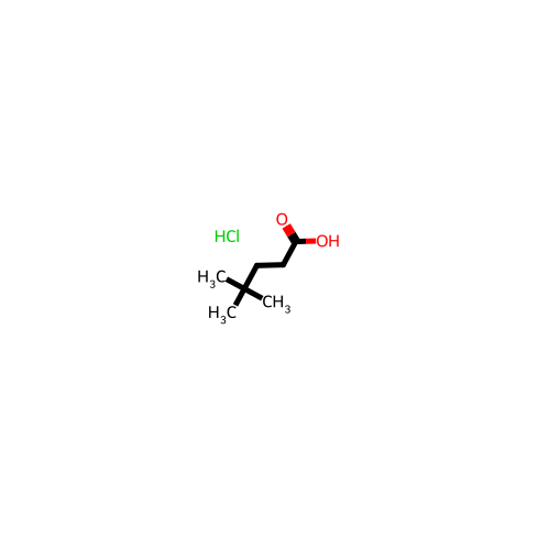 CC(C)(C)CCC(=O)O.Cl